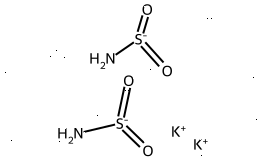 N[S-](=O)=O.N[S-](=O)=O.[K+].[K+]